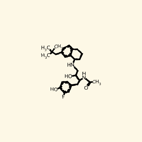 CC(=O)NC(Cc1ccc(O)c(F)c1)C(O)CNC1CCCc2ccc(CC(C)(C)C)cc21